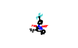 CC1Cc2ccccc2-[n+]2nn(-c3ccc(C(F)(F)F)cc3)c(O)c21.[OH-]